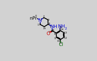 CCCN1CCC(NC(=O)c2cc(Cl)ccc2N)CC1